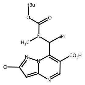 CC(C)C(c1c(C(=O)O)cnc2cc(Cl)nn12)N(C)C(=O)OC(C)(C)C